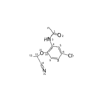 CC(=O)Nc1cc(Cl)ccc1OC(C)C#N